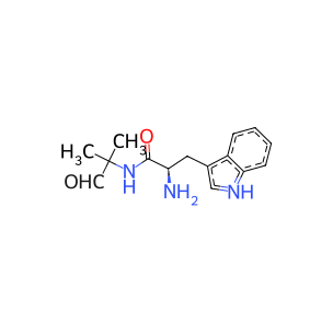 CC(C)(C=O)NC(=O)[C@H](N)Cc1c[nH]c2ccccc12